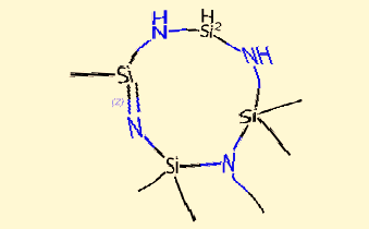 CN1[Si](C)(C)/N=[Si](/C)N[SiH2]N[Si]1(C)C